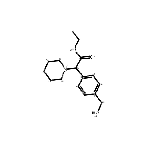 CCOC(=O)C(c1ccc(CO)cc1)N1CCCCC1